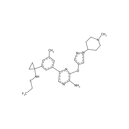 Cc1cc(-c2cnc(N)c(Oc3cnn(C4CCN(C)CC4)c3)n2)cc(C2(NSCC(F)(F)F)CC2)c1